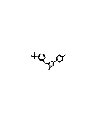 Cn1nc(-c2ccc(F)cc2)nc1Oc1cccc(C(F)(F)F)c1